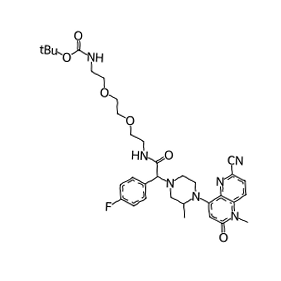 CC1CN(C(C(=O)NCCOCCOCCNC(=O)OC(C)(C)C)c2ccc(F)cc2)CCN1c1cc(=O)n(C)c2ccc(C#N)nc12